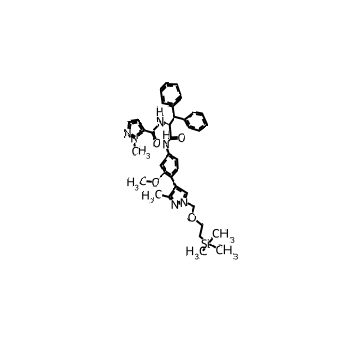 COc1cc(NC(=O)[C@@H](NC(=O)c2ccnn2C)C(c2ccccc2)c2ccccc2)ccc1-c1cn(COCC[Si](C)(C)C)nc1C